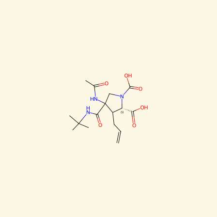 C=CCC1[C@@H](C(=O)O)N(C(=O)O)CC1(NC(C)=O)C(=O)NC(C)(C)C